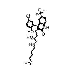 O=c1[nH]c2ccc(C(F)(F)F)cc2c(-c2cc(Cl)ccc2O)c1SCC(O)CNCCCCCO